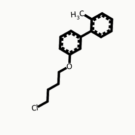 Cc1ccccc1-c1cccc(OCCCCCl)c1